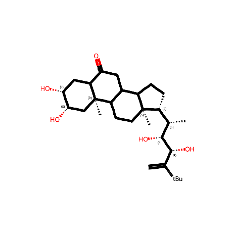 C=C([C@@H](O)[C@H](O)[C@@H](C)[C@H]1CCC2C3CC(=O)C4C[C@@H](O)[C@@H](O)C[C@]4(C)C3CC[C@@]21C)C(C)(C)C